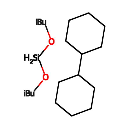 C1CCC(C2CCCCC2)CC1.CCC(C)O[SiH2]OC(C)CC